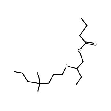 CCCC(=O)OCC(CC)SCCCC(F)(F)CCC